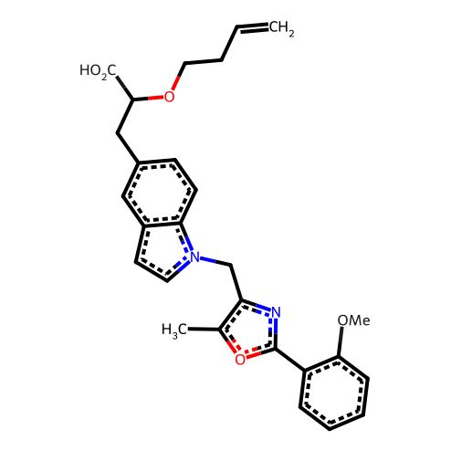 C=CCCOC(Cc1ccc2c(ccn2Cc2nc(-c3ccccc3OC)oc2C)c1)C(=O)O